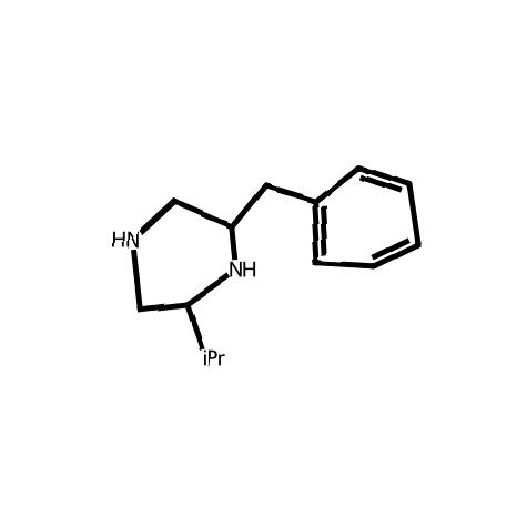 CC(C)C1CNCC(Cc2ccccc2)N1